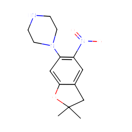 CC1(C)Cc2cc([N+](=O)[O-])c(N3CCNCC3)cc2O1